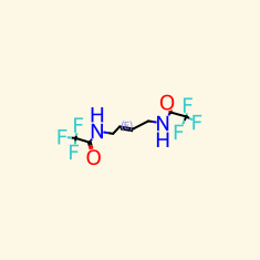 O=C(NC/C=C/CNC(=O)C(F)(F)F)C(F)(F)F